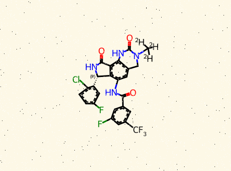 [2H]C([2H])([2H])N1Cc2cc(NC(=O)c3cc(F)cc(C(F)(F)F)c3)c3c(c2NC1=O)C(=O)N[C@H]3c1cc(F)ccc1Cl